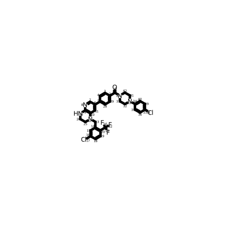 O=C(c1ccc(-c2cnc3c(c2)N(Cc2cc(Cl)ccc2C(F)(F)F)CCN3)cc1)N1CCN(c2ccc(Cl)cc2)CC1